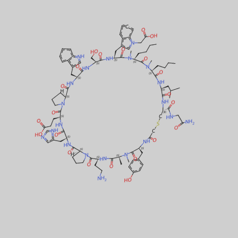 CCCC[C@H]1C(=O)N(C)[C@@H](CCCC)C(=O)N[C@@H](CC(C)C)C(=O)N[C@H](C(=O)NCC(N)=O)CSCC(=O)N[C@@H](Cc2ccc(O)cc2)C(=O)N(C)[C@@H](C)C(=O)N[C@@H](CCN)C(=O)N2CCC[C@H]2C(=O)N[C@@H](Cc2cnc[nH]2)C(=O)N[C@@H](CCC(=O)O)C(=O)N2CCC[C@H]2C(=O)N[C@@H](Cc2c[nH]c3ccccc23)C(=O)N[C@@H](CO)C(=O)N[C@@H](Cc2cn(CC(=O)O)c3ccccc23)C(=O)N1C